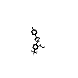 CCSc1cc(C(F)(F)F)ccc1-n1cc(-c2ccc(C)cc2)nn1